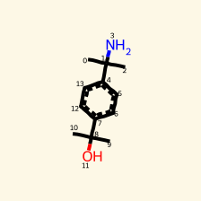 CC(C)(N)c1ccc(C(C)(C)O)cc1